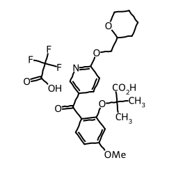 COc1ccc(C(=O)c2ccc(OCC3CCCCO3)nc2)c(OC(C)(C)C(=O)O)c1.O=C(O)C(F)(F)F